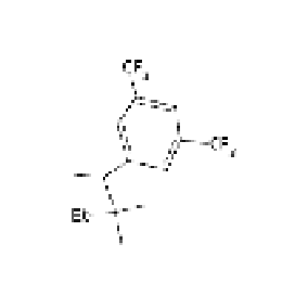 CCC(C)(C)C(C)c1cc(C(F)(F)F)cc(C(F)(F)F)c1